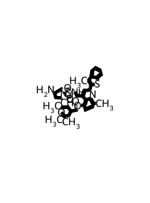 Cc1c(-c2cc(C(=O)NS(=O)(=O)N3CC[C@H](N)C3)c3c(OCC4CC(C)(C)OC(C)(C)C4)ccc(C)c3n2)sc2ccccc12